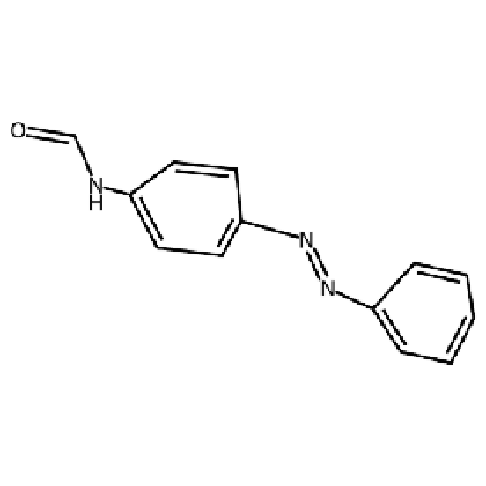 O=CNc1ccc(N=Nc2ccccc2)cc1